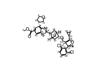 COC(=O)c1cc([C@@H]2CCOC2)c2nc(N3C[C@@H]4C[C@H]3C[C@H]4OCc3c(-c4c(Cl)cccc4Cl)noc3C3CC3)sc2c1